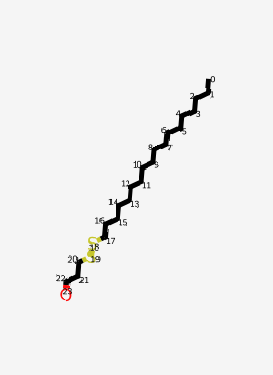 CCCCCCCCCCCCCCCCCCSSCCC=O